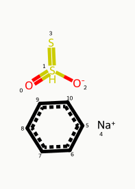 O=[SH]([O-])=S.[Na+].c1ccccc1